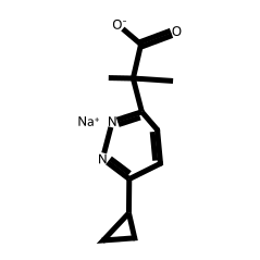 CC(C)(C(=O)[O-])c1ccc(C2CC2)nn1.[Na+]